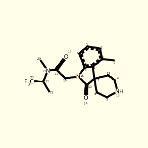 Cc1cccc2c1C1(CCNCC1)C(=O)N2CC(=O)N(C)[C@@H](C)C(F)(F)F